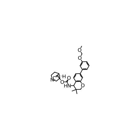 COCOc1cccc(-c2ccc3c(c2)OCC(C)(C)C3NC(=O)O[C@H]2CN3CCC2CC3)c1